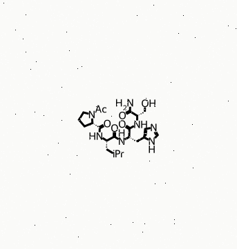 CC(=O)N1CCC[C@H]1C(=O)N[C@@H](CC(C)C)C(=O)N[C@@H](Cc1cnc[nH]1)C(=O)N[C@@H](CO)C(N)=O